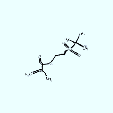 C=C(C)C(=O)OCCS(=O)(=O)C(C)(C)C